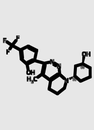 Cc1c(-c2ccc(C(F)(F)F)cc2O)nnc2c1CCCN2[C@H]1CCC[C@H](O)C1